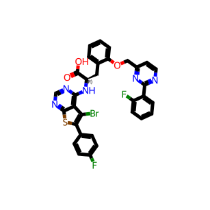 O=C(O)[C@@H](Cc1ccccc1OCc1ccnc(-c2ccccc2F)n1)Nc1ncnc2sc(-c3ccc(F)cc3)c(Br)c12